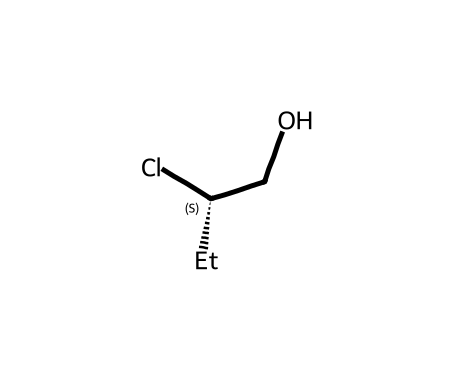 CC[C@H](Cl)CO